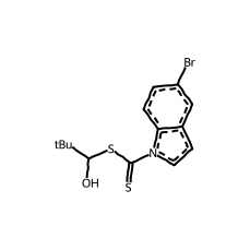 CC(C)(C)C(O)SC(=S)n1ccc2cc(Br)ccc21